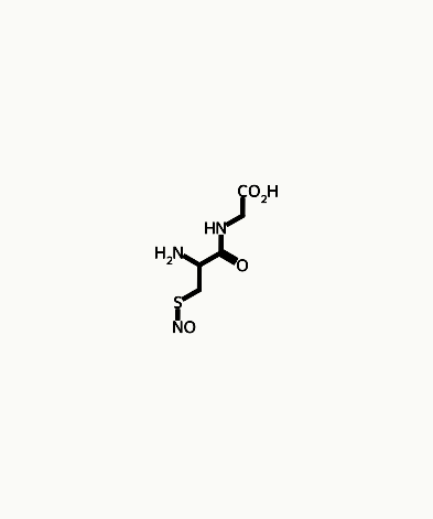 NC(CSN=O)C(=O)NCC(=O)O